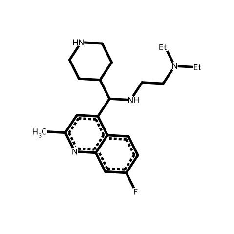 CCN(CC)CCNC(c1cc(C)nc2cc(F)ccc12)C1CCNCC1